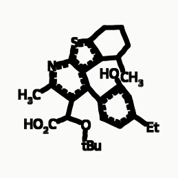 CCc1ccc(-c2c(C(OC(C)(C)C)C(=O)O)c(C)nc3sc4c(c23)C(C)CCC4)c(O)c1